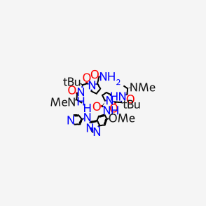 CN[C@@H](C)C(=O)N[C@H](C(=O)N1CCCC1C(N)=O)C(C)(C)C.CN[C@@H](C)C(=O)N[C@H](C(=O)N1CCC[C@H]1C(=O)Nc1cc2c(Nc3ccncc3)ncnc2cc1OC)C(C)(C)C